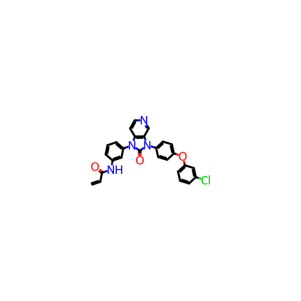 C=CC(=O)Nc1cccc(-n2c(=O)n(-c3ccc(Oc4cccc(Cl)c4)cc3)c3cnccc32)c1